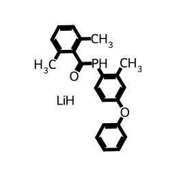 Cc1cc(Oc2ccccc2)ccc1PC(=O)c1c(C)cccc1C.[LiH]